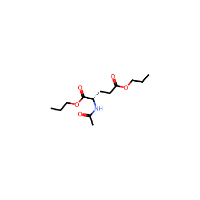 CCCOC(=O)CC[C@H](NC(C)=O)C(=O)OCCC